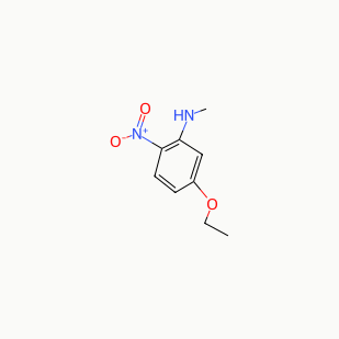 CCOc1ccc([N+](=O)[O-])c(NC)c1